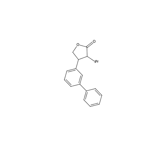 CC(C)C1C(=O)OCC1c1cccc(-c2ccccc2)c1